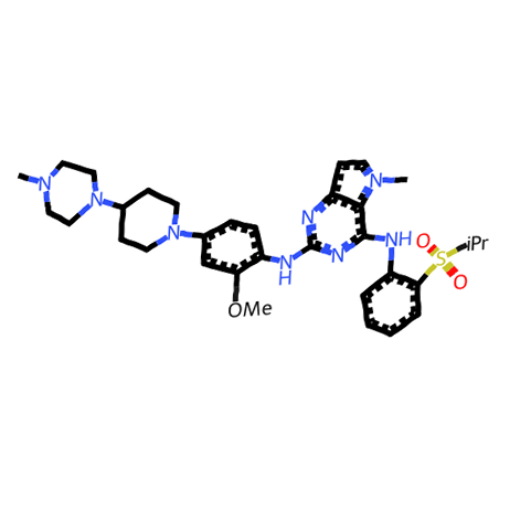 COc1cc(N2CCC(N3CCN(C)CC3)CC2)ccc1Nc1nc(Nc2ccccc2S(=O)(=O)C(C)C)c2c(ccn2C)n1